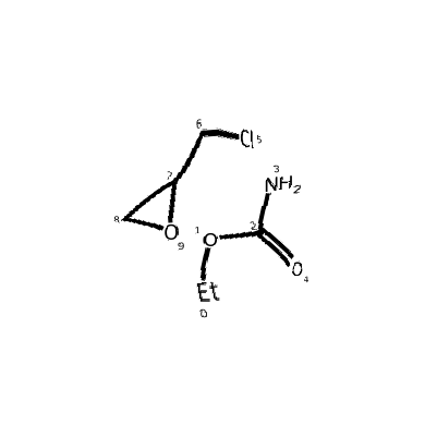 CCOC(N)=O.ClCC1CO1